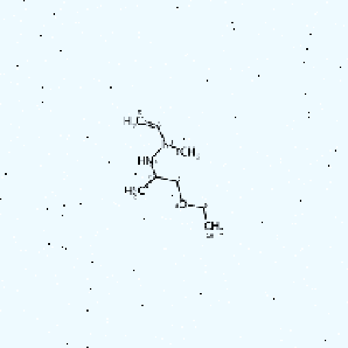 C=CN(C)NC(C)COCC